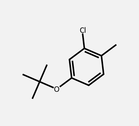 Cc1ccc(OC(C)(C)C)cc1Cl